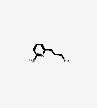 Nc1cccc(CCCO)n1